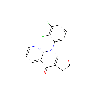 O=c1c2c(n(-c3cccc(Cl)c3Cl)c3ncccc13)OCC2